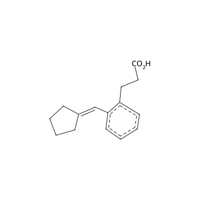 O=C(O)CCc1ccccc1C=C1CCCC1